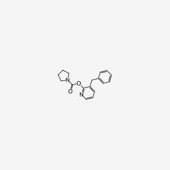 O=C(Oc1ncccc1Cc1ccccc1)N1CCCC1